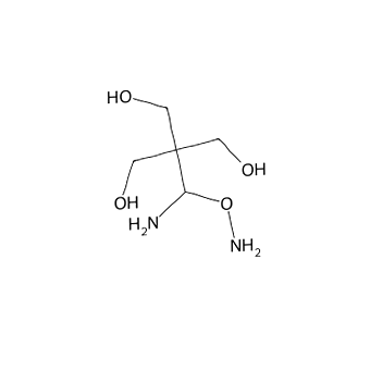 NOC(N)C(CO)(CO)CO